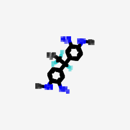 CCNc1ccc(C(F)(c2ccc(NCC)c(N)c2)C(F)(F)C(F)(F)F)cc1N